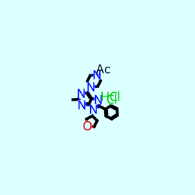 CC(=O)N1CCN(c2nc(C)nc3c2nc(-c2ccccc2Cl)n3[C@@H]2CCOC2)CC1.Cl